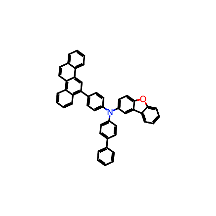 c1ccc(-c2ccc(N(c3ccc(-c4cc5c6ccccc6ccc5c5ccccc45)cc3)c3ccc4oc5ccccc5c4c3)cc2)cc1